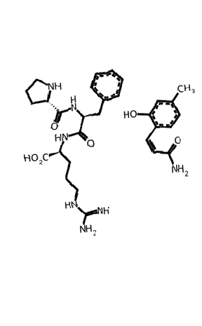 Cc1ccc(/C=C\C(N)=O)c(O)c1.N=C(N)NCCC[C@H](NC(=O)[C@H](Cc1ccccc1)NC(=O)[C@@H]1CCCN1)C(=O)O